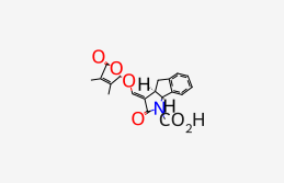 CC1=C(C)[C@@H](O/C=C2/C(=O)N(C(=O)O)[C@@H]3c4ccccc4C[C@H]23)OC1=O